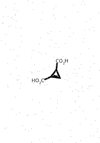 O=C(O)C1=CC1C(=O)O